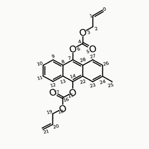 C=CCOC(=O)Oc1c2ccccc2c(OC(=O)OCC=C)c2cc(C)ccc12